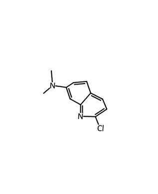 CN(C)c1ccc2ccc(Cl)nc2c1